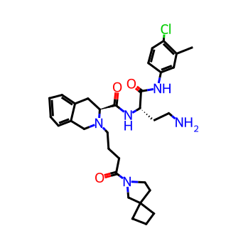 Cc1cc(NC(=O)[C@H](CCN)NC(=O)[C@@H]2Cc3ccccc3CN2CCCC(=O)N2CCC3(CCC3)C2)ccc1Cl